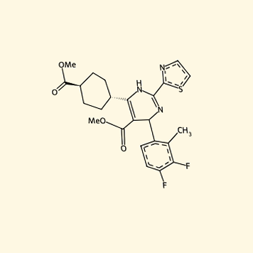 COC(=O)C1=C([C@H]2CC[C@H](C(=O)OC)CC2)NC(c2nccs2)=NC1c1ccc(F)c(F)c1C